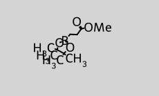 COC(=O)CCB1OC(C)(C)C(C)(C)O1